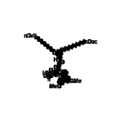 CCCCCCCCCCCCCCCCCCCCCCOc1cc(CNC(=O)CCC(=O)O[C@@H]2C[C@H](n3cc(C)c(=O)[nH]c3=O)O[C@@H]2COC(c2ccccc2)(c2ccc(OC)cc2)c2ccc(OC)cc2)cc(OCCCCCCCCCCCCCCCCCCCCCC)c1